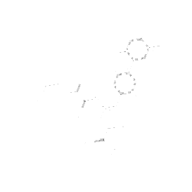 CC(C)COC(=O)C(=O)NN(Cc1ccc(-c2cc(Cl)ccc2F)cc1)CC(O)C(=O)O